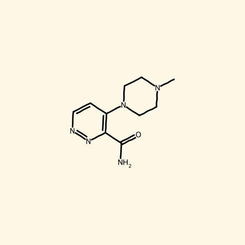 CN1CCN(c2ccnnc2C(N)=O)CC1